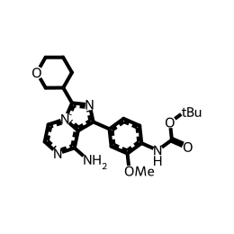 COc1cc(-c2nc(C3CCCOC3)n3ccnc(N)c23)ccc1NC(=O)OC(C)(C)C